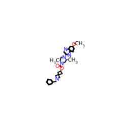 COc1ccc2nc(N3C[C@@H](C)N(C(=O)OC4CC5(C4)CN(Cc4ccccc4)C5)C[C@@H]3C)cnc2c1